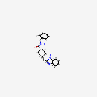 Cc1ccccc1CNC(=O)[C@H]1CC[C@H](Cc2nc3ccccc3[nH]2)CC1